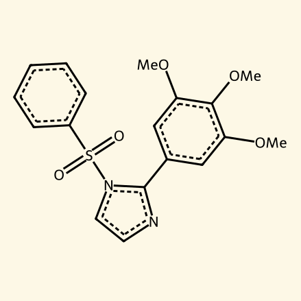 COc1cc(-c2nccn2S(=O)(=O)c2ccccc2)cc(OC)c1OC